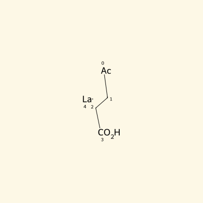 CC(=O)CCC(=O)O.[La]